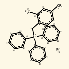 FC(F)(F)c1ccc(C[P+](c2ccccc2)(c2ccccc2)c2ccccc2)c(C(F)(F)F)c1.[Br-]